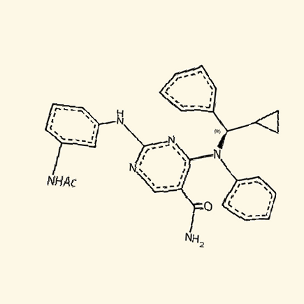 CC(=O)Nc1cccc(Nc2ncc(C(N)=O)c(N(c3ccccc3)[C@@H](c3ccccc3)C3CC3)n2)c1